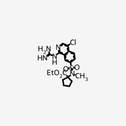 CCOC(=O)C1(N(C)S(=O)(=O)c2ccc3c(Cl)cnc(NC(=N)N)c3c2)CCCC1